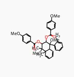 COc1ccc(C(=O)OC2C(OC(=O)c3ccc(OC)cc3)C(C)(OC)C3(C)C=CC=CC3C2(OC)c2ccccc2C)cc1